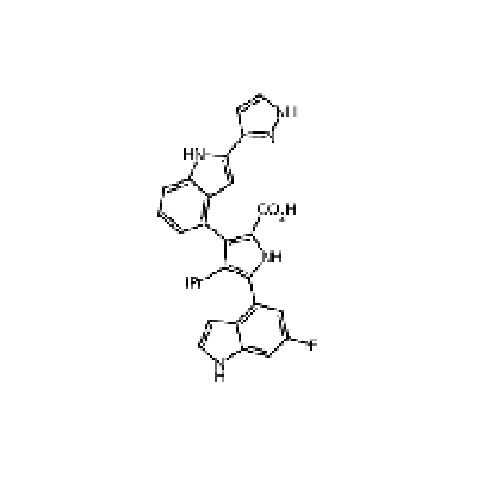 CC(C)c1c(-c2cc(F)cc3[nH]ccc23)[nH]c(C(=O)O)c1-c1cccc2[nH]c(-c3cc[nH]n3)cc12